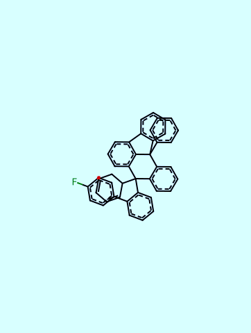 Fc1ccc(-c2ccccc2C2(C3C=CC=CC3)c3ccccc3C3(c4ccccc4)c4ccccc4-c4cccc2c43)cc1